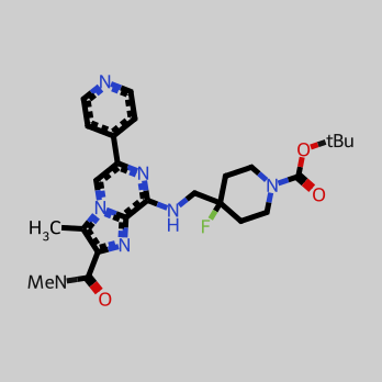 CNC(=O)c1nc2c(NCC3(F)CCN(C(=O)OC(C)(C)C)CC3)nc(-c3ccncc3)cn2c1C